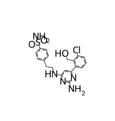 Nc1nc(NCCc2ccc(S(N)(=O)=O)cc2)cc(-c2cccc(Cl)c2CO)n1